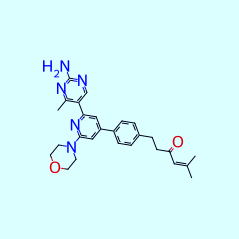 CC(C)=CC(=O)CCc1ccc(-c2cc(-c3cnc(N)nc3C)nc(N3CCOCC3)c2)cc1